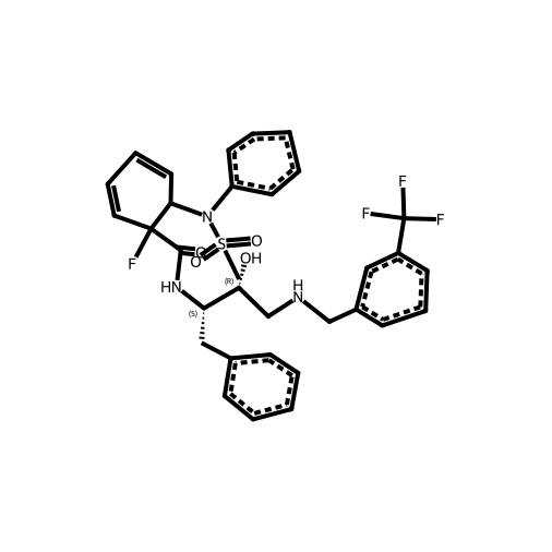 CS(=O)(=O)N(c1ccccc1)C1C=CC=CC1(F)C(=O)N[C@@H](Cc1ccccc1)[C@H](O)CNCc1cccc(C(F)(F)F)c1